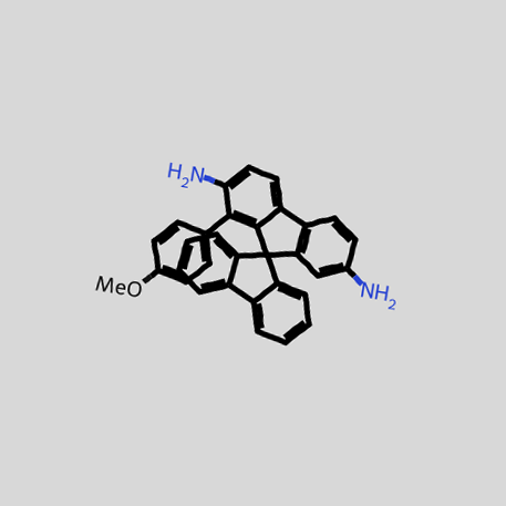 COc1ccc(-c2c(N)ccc3c2C2(c4ccccc4-c4ccccc42)c2cc(N)ccc2-3)cc1